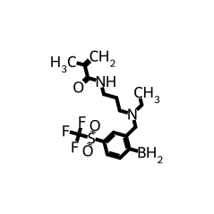 Bc1ccc(S(=O)(=O)C(F)(F)F)cc1CN(CC)CCCNC(=O)C(=C)C